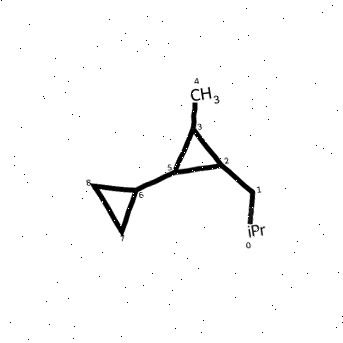 CC(C)CC1C(C)C1C1CC1